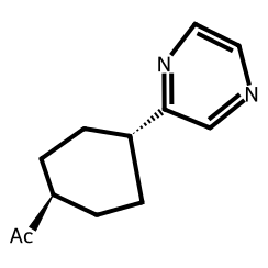 CC(=O)[C@H]1CC[C@H](c2cnccn2)CC1